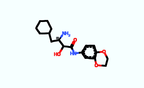 N[C@H](CC1CCCCC1)C(O)C(=O)Nc1ccc2c(c1)OCCO2